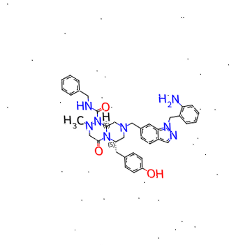 CN1CC(=O)N2[C@@H](Cc3ccc(O)cc3)CN(Cc3ccc4cnn(Cc5ccccc5N)c4c3)C[C@@H]2N1C(=O)NCc1ccccc1